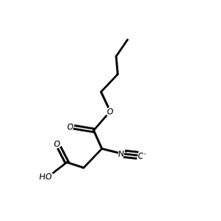 [C-]#[N+]C(CC(=O)O)C(=O)OCCCC